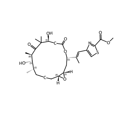 COC(=O)c1nc(C=C(C)[C@@H]2C[C@@H]3O[C@@H]3CCC[C@H](C)[C@H](O)[C@@H](C)C(=O)C(C)(C)[C@@H](O)CC(=O)O2)cs1